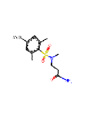 COc1cc(C)c(S(=O)(=O)N(C)CCC(N)=O)c(C)c1